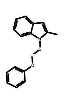 Cc1cc2ccccc2n1SOOc1ccccc1